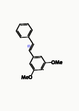 COc1[c]c(OC)cc(/C=C/c2ccccc2)c1